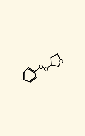 [c]1ccc(OOC2CCOC2)cc1